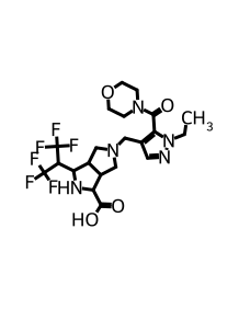 CCn1ncc(CN2CC3C(C(=O)O)NC(C(C(F)(F)F)C(F)(F)F)C3C2)c1C(=O)N1CCOCC1